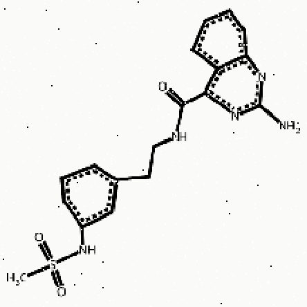 CS(=O)(=O)Nc1cccc(CCNC(=O)c2nc(N)nc3ccccc23)c1